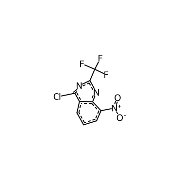 O=[N+]([O-])c1cccc2c(Cl)nc(C(F)(F)F)nc12